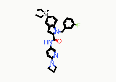 CC[Si](C)(CC)c1ccc2c(c1)cc(C(=O)Nc1ccc(N3CCC3)nc1)n2Cc1cccc(F)c1